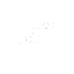 Cc1nc2sc(C(=O)NCc3ccc(S(C)(=O)=O)cc3)c(Br)c2c(C)c1Cl